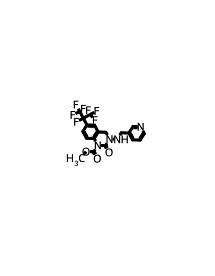 COC(=O)N1C(=O)N(NCc2cccnc2)Cc2cc(C(F)(C(F)(F)F)C(F)(F)F)ccc21